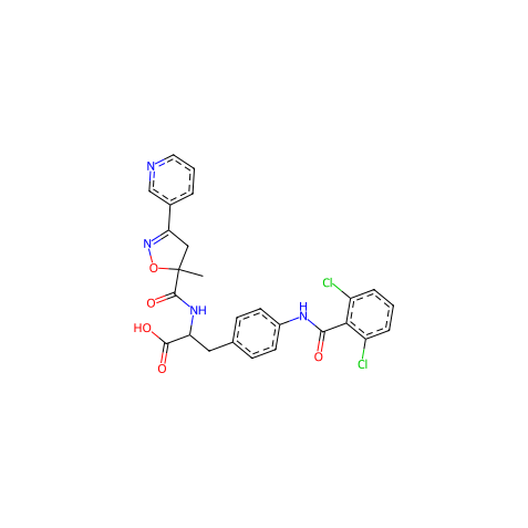 CC1(C(=O)NC(Cc2ccc(NC(=O)c3c(Cl)cccc3Cl)cc2)C(=O)O)CC(c2cccnc2)=NO1